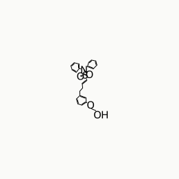 O=S(=O)(C=CCCc1cccc(OCCO)c1)N(c1ccccc1)c1ccccc1